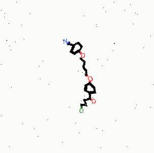 N#Cc1ccc(OCCCCCOc2ccc(C(=O)CCCCl)cc2)cc1